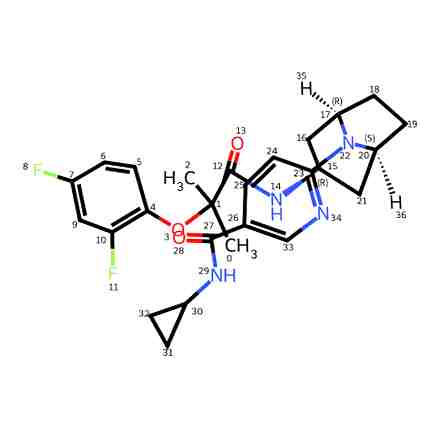 CC(C)(Oc1ccc(F)cc1F)C(=O)N[C@H]1C[C@H]2CC[C@@H](C1)N2c1ccc(C(=O)NC2CC2)cn1